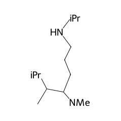 CNC(CCCNC(C)C)C(C)C(C)C